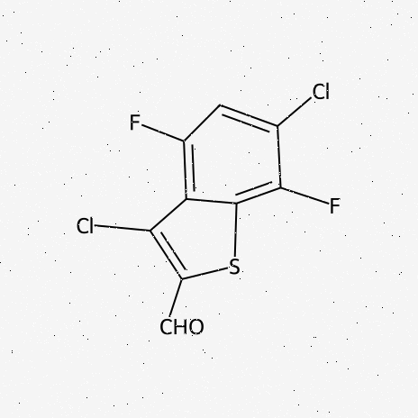 O=Cc1sc2c(F)c(Cl)cc(F)c2c1Cl